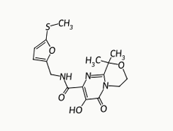 CSc1ccc(CNC(=O)c2nc3n(c(=O)c2O)CCOC3(C)C)o1